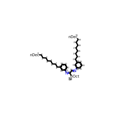 CCCCCCCCCCCCCCCCCCc1cccc(/N=C(\C=N\c2cccc(CCCCCCCCCCCCCCCCCC)c2)CCCCCCCC)c1.[Ni]